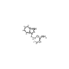 NC(=O)O[C@H](CF)Cc1c[nH]c2ccccc12